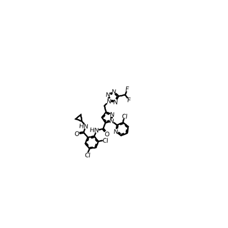 O=C(NC1CC1)c1cc(Cl)cc(Cl)c1NC(=O)c1cc(Cn2nnc(C(F)F)n2)nn1-c1ncccc1Cl